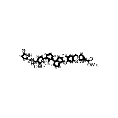 COC(=O)C1C2CN(Cc3cc(Cl)c(O[C@H]4CCc5c(-c6cccc(-c7ccc(CNC[C@@H]8CCC(=O)N8)c(OC)n7)c6Cl)cccc54)nc3OC)CC21